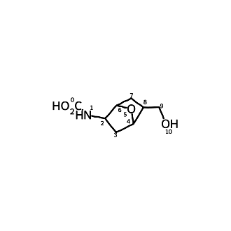 O=C(O)NC1CC2OC1CC2CO